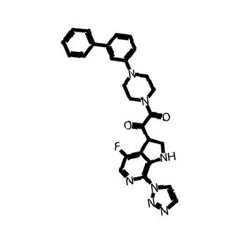 O=C(C(=O)N1CCN(c2cccc(-c3ccccc3)c2)CC1)C1CNc2c(-n3ccnn3)ncc(F)c21